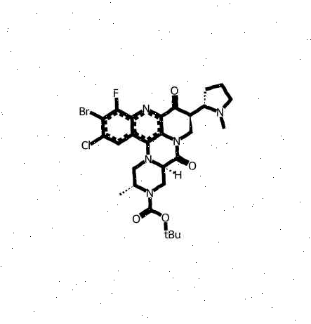 C[C@@H]1CN2c3c4c(nc5c(F)c(Br)c(Cl)cc35)C(=O)[C@@H]([C@@H]3CCCN3C)CN4C(=O)[C@H]2CN1C(=O)OC(C)(C)C